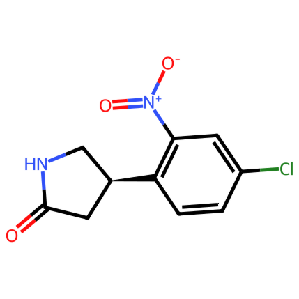 O=C1C[C@H](c2ccc(Cl)cc2[N+](=O)[O-])CN1